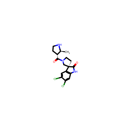 C[C@@H]1NCC[C@H]1C(=O)N1CC[C@]2(C1)C(=O)Nc1cc(Cl)c(Cl)cc12